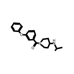 CC(C)NC1CCN(C(=O)c2cccc(Oc3ccccc3)c2)CC1